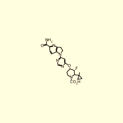 CC1(C2[C@@H](F)[C@@H](Oc3cc(N4CCc5nc(C(N)=O)ccc54)ncn3)CCN2C(=O)O)CC1